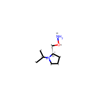 CC(C)N1CCC[C@H]1CON